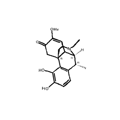 COC1=CC2[C@@H]3[C@H](C)c4ccc(O)c(O)c4[C@]2(CCN3C)CC1=O